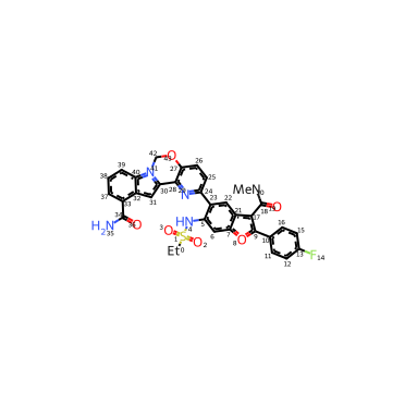 CCS(=O)(=O)Nc1cc2oc(-c3ccc(F)cc3)c(C(=O)NC)c2cc1-c1ccc2c(n1)-c1cc3c(C(N)=O)cccc3n1CO2